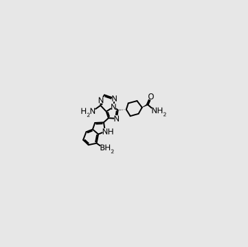 Bc1cccc2cc(-c3nc([C@H]4CC[C@H](C(N)=O)CC4)n4ncnc(N)c34)[nH]c12